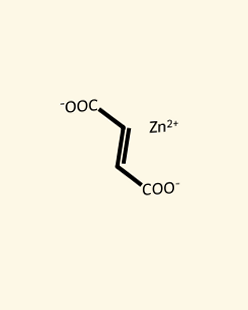 O=C([O-])C=CC(=O)[O-].[Zn+2]